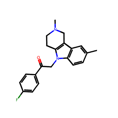 Cc1ccc2c(c1)c1c(n2CC(=O)c2ccc(F)cc2)CCN(C)C1